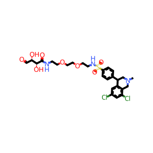 CN1Cc2c(Cl)cc(Cl)cc2C(c2ccc(S(=O)(=O)NCCOCCOCCNC(=O)[C@H](O)[C@@H](O)C=O)cc2)C1